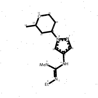 CC/N=C(\NC)Nc1cnn(C2CCOC(C)C2)c1